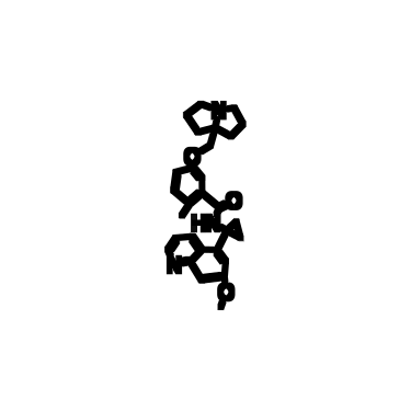 COc1cc(C2(NC(=O)c3cc(OCC45CCCN4CCC5)ccc3C)CC2)c2cccnc2c1